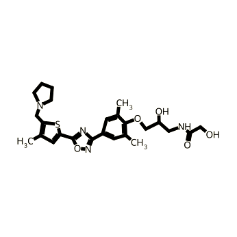 Cc1cc(-c2nc(-c3cc(C)c(OCC(O)CNC(=O)CO)c(C)c3)no2)sc1CN1CCCC1